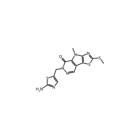 CSc1nc2c(s1)c1cnn(Cc3cnc(N)s3)c(=O)c1n2C